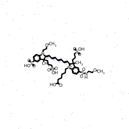 COCCNS(=O)(=O)c1ccc2c(c1)C(C)(CCCS(=O)(=O)O)C(/C=C/C=C/C=C/C=C1/N(CCOC)c3ccc(S(=O)(=O)O)cc3C1(C)CCCS(=O)(=O)O)=[N+]2CCCCCC(=O)O